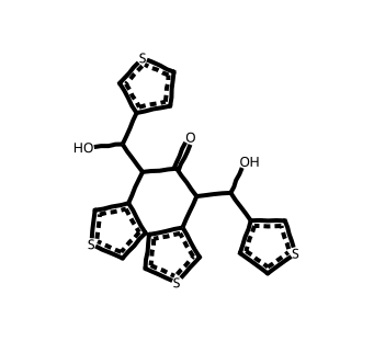 O=C(C(c1ccsc1)C(O)c1ccsc1)C(c1ccsc1)C(O)c1ccsc1